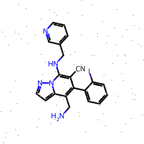 N#Cc1c(-c2ccccc2I)c(CN)c2ccnn2c1NCc1cccnc1